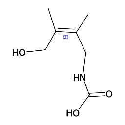 C/C(CO)=C(\C)CNC(=O)O